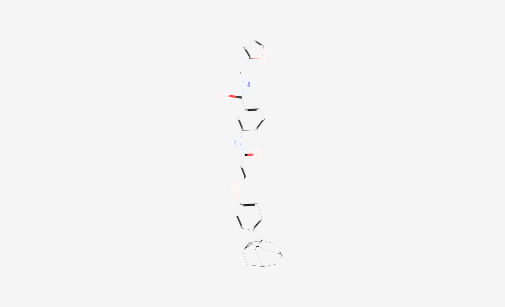 O=C(/C=C/Oc1ccc(C23CC4CC(CC(C4)C2)C3)cc1)Nc1cccc(C(=O)NCc2ccco2)c1